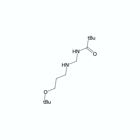 CC(C)(C)OCCCNCNC(=O)C(C)(C)C